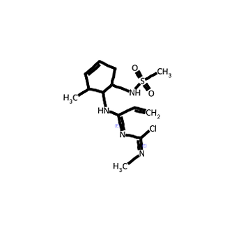 C=C/C(=N\C(Cl)=N/C)NC1C(C)C=CCC1NS(C)(=O)=O